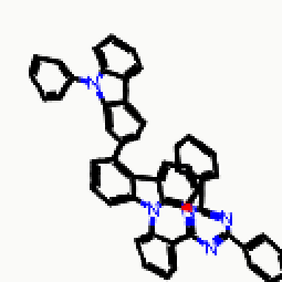 C1=CCCC(c2nc(-c3ccccc3)nc(-c3ccccc3-n3c4ccccc4c4c(-c5ccc6c7ccccc7n(-c7ccccc7)c6c5)cccc43)n2)=C1